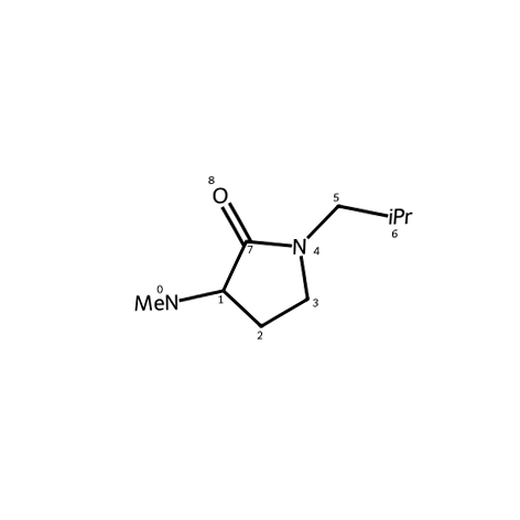 CNC1CCN(CC(C)C)C1=O